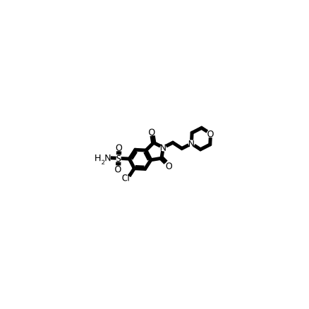 NS(=O)(=O)c1cc2c(cc1Cl)C(=O)N(CCN1CCOCC1)C2=O